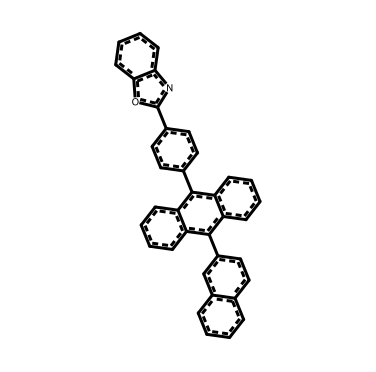 c1ccc2cc(-c3c4ccccc4c(-c4ccc(-c5nc6ccccc6o5)cc4)c4ccccc34)ccc2c1